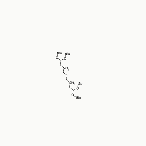 CC(C)(C)OC(C[SiH2]CCC[SiH2]CC(OC(C)(C)C)OC(C)(C)C)OC(C)(C)C